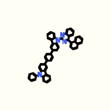 c1ccc(-n2c3ccccc3c3cc(-c4ccc(-c5ccc6c(c5)c5ccccc5n6-c5nc(-c6cccc7ccccc67)c6ccccc6n5)cc4)ccc32)cc1